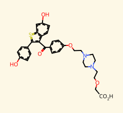 O=C(O)COCCN1CCN(CCOc2ccc(C(=O)c3c(-c4ccc(O)cc4)sc4cc(O)ccc34)cc2)CC1